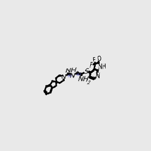 N/C(=C\N=C(/N)N1CCC2(CC1)Cc1ccccc1C2)Sc1ccnc2c1C(F)(F)C(=O)N2